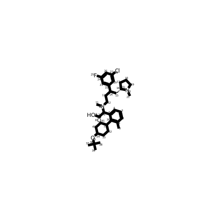 Cc1cccc(C(C(=O)O)N(C)CCC(C[C@@H]2CCCN2C)c2cc(F)cc(Cl)c2)c1C1CCC(OC(C)(C)C)CC1